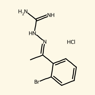 C/C(=N\NC(=N)N)c1ccccc1Br.Cl